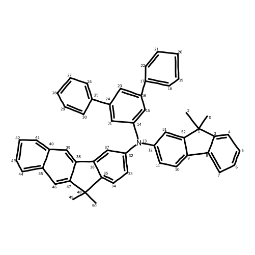 CC1(C)c2ccccc2-c2ccc(N(c3cc(-c4ccccc4)cc(-c4ccccc4)c3)c3ccc4c(c3)-c3cc5ccccc5cc3C4(C)C)cc21